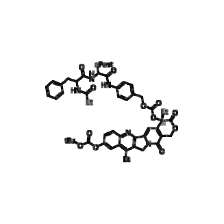 CCCCCC(NC(=O)C(Cc1ccccc1)NC(=O)CC)C(=O)Nc1ccc(COC(=O)O[C@]2(CC)C(=O)OCc3c2cc2n(c3=O)Cc3c-2nc2ccc(OC(=O)OC(C)(C)C)cc2c3CC)cc1